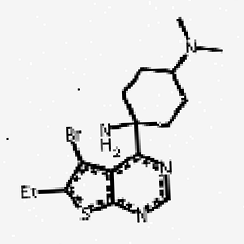 CCc1sc2ncnc(C3(N)CCC(N(C)C)CC3)c2c1Br